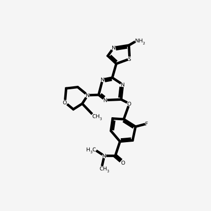 CC1COCCN1c1nc(Oc2ccc(C(=O)N(C)C)cc2F)nc(-c2cnc(N)s2)n1